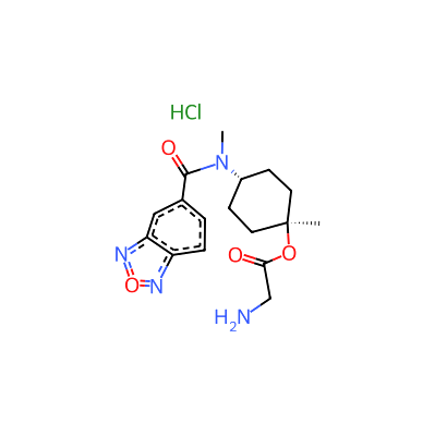 CN(C(=O)c1ccc2nonc2c1)[C@H]1CC[C@](C)(OC(=O)CN)CC1.Cl